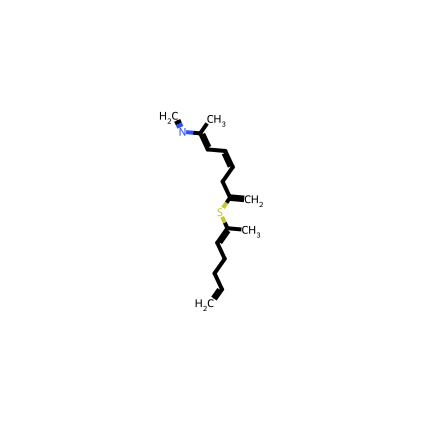 C=CCC/C=C(\C)SC(=C)C/C=C\C=C(/C)N=C